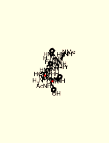 CNC(=N)NCCC[C@H](NC(=O)[C@H](CC(C)C)NC(=O)NNC(=O)[C@H](Cc1ccccc1F)NC(=O)[C@@H](NC(=O)[C@H](CC(N)=O)NC(=O)[C@H](Cc1c[nH]c2ccccc12)NC(=O)[C@@H](Cc1ccc(O)cc1)NC(C)=O)[C@@H](C)O)C(=O)N[C@@H](Cc1c[nH]c2ccccc12)C(N)=O